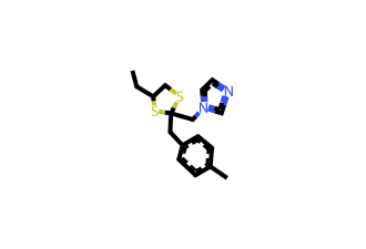 CCC1CSC(Cc2ccc(C)cc2)(Cn2ccnc2)S1